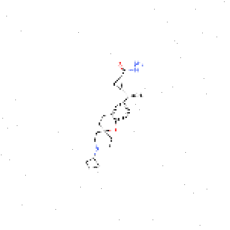 C=C(c1ccc2c(c1)CCC1(CCN(C3CCC3)CC1)O2)C1CC1C(=O)NN